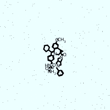 COc1ccc2c(c1)C1CC1(C(=O)N1CC3CN(Cc4ccccc4)CC3C1)Cn1c-2c(C2CCCCC2)c2ccc(C(=O)NS(N)(=O)=O)cc21